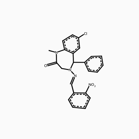 CN1C(=O)CN(N=Cc2ccccc2[N+](=O)[O-])C(c2ccccc2)c2cc(Cl)ccc21